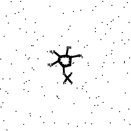 Bc1cc(OC(F)(F)F)c(B)c(B)c1O